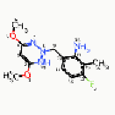 COC1=CC(OC)=NN(Cc2ccc(F)c(C)c2N)N1